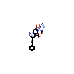 CN(C)C(=O)N1CCO[C@@H]2c3cc(C#Cc4ccccc4)cnc3CC[C@@H]21